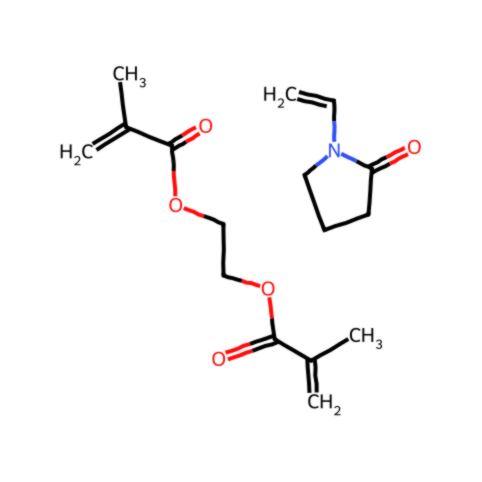 C=C(C)C(=O)OCCOC(=O)C(=C)C.C=CN1CCCC1=O